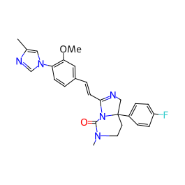 COc1cc(/C=C/C2=NCC3(c4ccc(F)cc4)CCN(C)C(=O)N23)ccc1-n1cnc(C)c1